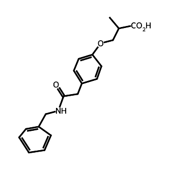 CC(COc1ccc(CC(=O)NCc2ccccc2)cc1)C(=O)O